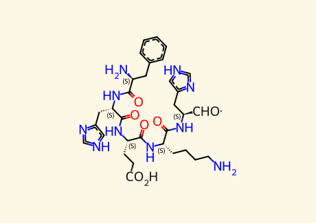 NCCCC[C@H](NC(=O)[C@H](CCC(=O)O)NC(=O)[C@H](Cc1c[nH]cn1)NC(=O)[C@@H](N)Cc1ccccc1)C(=O)N[C@H]([C]=O)Cc1c[nH]cn1